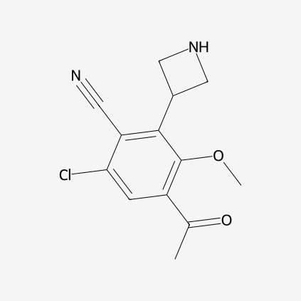 COc1c(C(C)=O)cc(Cl)c(C#N)c1C1CNC1